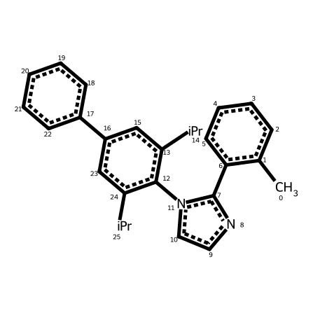 Cc1ccccc1-c1nccn1-c1c(C(C)C)cc(-c2ccccc2)cc1C(C)C